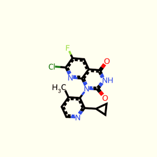 Cc1ccnc(C2CC2)c1-n1c(=O)[nH]c(=O)c2cc(F)c(Cl)nc21